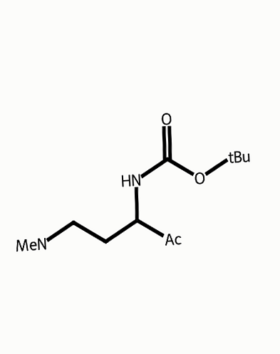 CNCCC(NC(=O)OC(C)(C)C)C(C)=O